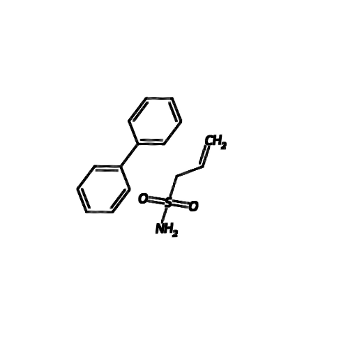 C=CCS(N)(=O)=O.c1ccc(-c2ccccc2)cc1